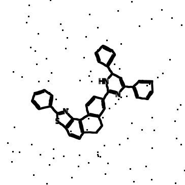 C1=C(c2ccccc2)N=C(c2ccc3c(c2)CCc2ccc4sc(-c5ccccc5)nc4c2-3)NC1c1ccccc1